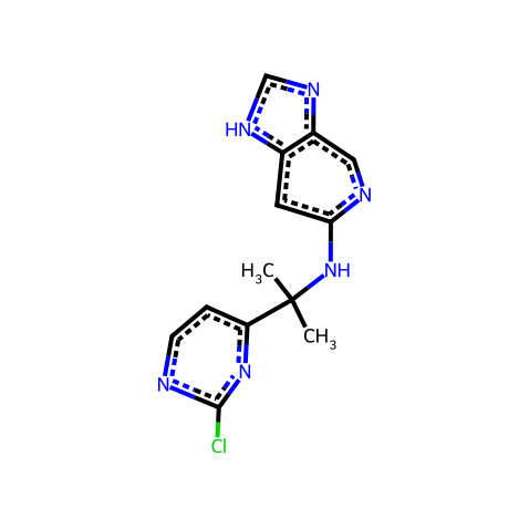 CC(C)(Nc1cc2[nH]cnc2cn1)c1ccnc(Cl)n1